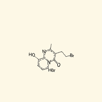 Br.Cc1nc2c(O)cccn2c(=O)c1CCBr